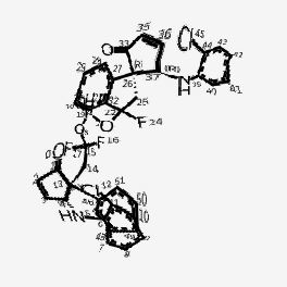 O=C1C=C[C@@H](Nc2ccccc2Cl)[C@@]1(CC(F)(F)O[PH](=O)OC(F)(F)C[C@]1(c2ccccc2)C(=O)C=C[C@H]1Nc1ccccc1Cl)c1ccccc1